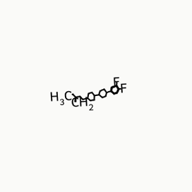 C=C(CC)CCC1CCC(C2CCC(c3ccc(F)c(F)c3)CC2)CC1